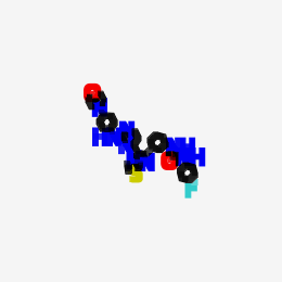 O=C(Nc1ccc(F)cc1)Nc1cccc(-c2nc3sccn3c2-c2ccnc(Nc3ccc(N4CCOCC4)cc3)n2)c1